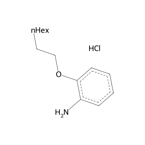 CCCCCCCCOc1ccccc1N.Cl